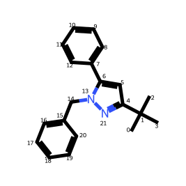 CC(C)(C)c1cc(-c2ccccc2)n(Cc2cc[c]cc2)n1